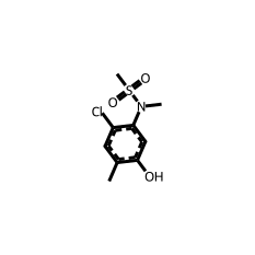 Cc1cc(Cl)c(N(C)S(C)(=O)=O)cc1O